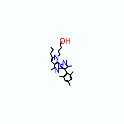 CCCc1cc2c(C)nc3c(-c4c(C)cc(C)cc4C)c(C)nn3c2n1CCCCO